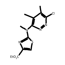 CCOC(=O)c1csc(N(C)c2nnc(Cl)c(C)c2C)n1